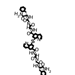 NC(=O)[C@H](Cc1ccccc1)NC(=O)CNC(=O)CNC(=O)c1cc(SSc2cc(C(=O)NCC(=O)NCC(=O)N[C@@H](Cc3ccccc3)C(N)=O)cc3cccnc23)c2ncccc2c1